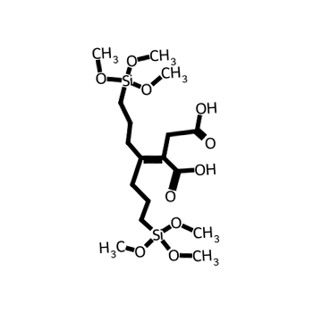 CO[Si](CCCC(CCC[Si](OC)(OC)OC)=C(CC(=O)O)C(=O)O)(OC)OC